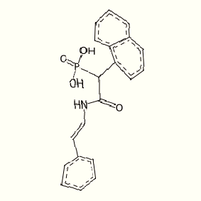 O=C(NC=Cc1ccccc1)C(c1cccc2ccccc12)P(=O)(O)O